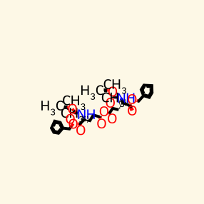 CC(C)(C)OC(=O)N[C@@H](CCC(=O)OC(=O)CC[C@H](NC(=O)OC(C)(C)C)C(=O)OCc1ccccc1)C(=O)OCc1ccccc1